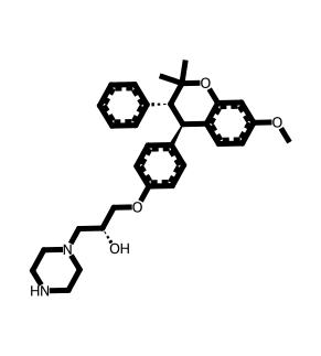 COc1ccc2c(c1)OC(C)(C)[C@@H](c1ccccc1)[C@@H]2c1ccc(OC[C@H](O)CN2CCNCC2)cc1